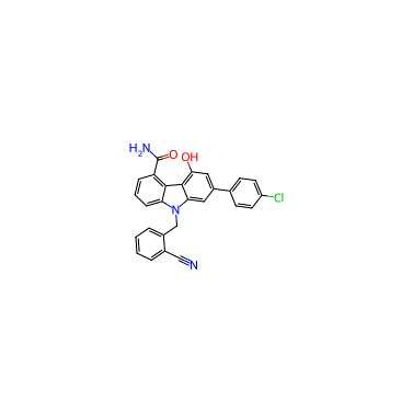 N#Cc1ccccc1Cn1c2cc(-c3ccc(Cl)cc3)cc(O)c2c2c(C(N)=O)cccc21